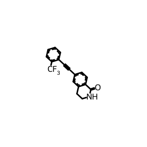 O=C1NCCc2cc(C#Cc3ccccc3C(F)(F)F)ccc21